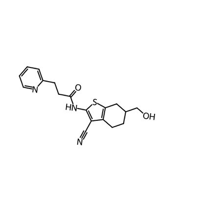 N#Cc1c(NC(=O)CCc2ccccn2)sc2c1CCC(CO)C2